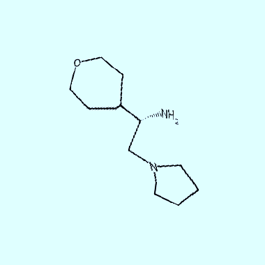 N[C@H](CN1CCCC1)C1CCOCC1